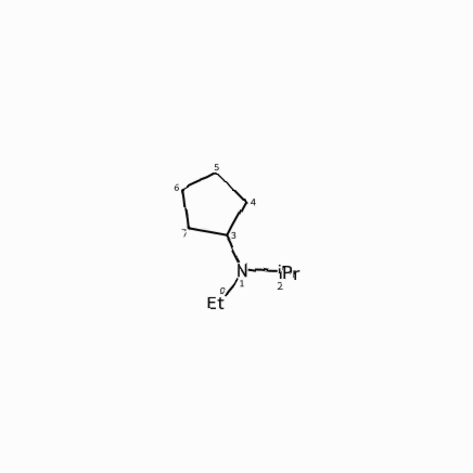 [CH2]CN(C(C)C)C1CCCC1